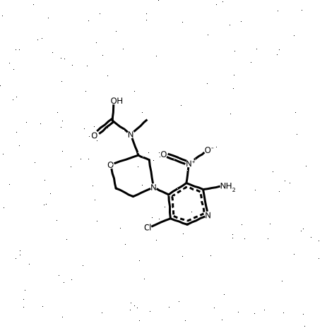 CN(C(=O)O)C1CN(c2c(Cl)cnc(N)c2[N+](=O)[O-])CCO1